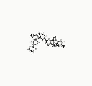 COc1ncc(-c2ccc3nc(N)n(-c4ccc(N5CCOCC5)cc4)c3c2)cc1S(=O)(=O)Nc1ccc(F)cc1